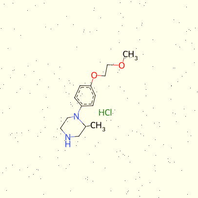 COCCOc1ccc(N2CCNCC2C)cc1.Cl